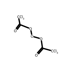 O=C(OOOC(=O)C(Cl)(Cl)Cl)C(Cl)(Cl)Cl